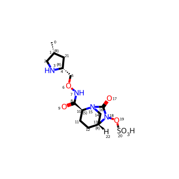 C[C@H]1CN[C@@H](CONC(=O)[C@@H]2CC[C@@H]3CN2C(=O)N3OS(=O)(=O)O)C1